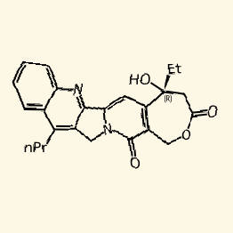 CCCc1c2c(nc3ccccc13)-c1cc3c(c(=O)n1C2)COC(=O)C[C@]3(O)CC